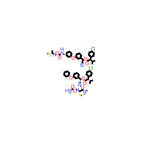 CC(C)C(C(=O)OC(C#N)c1cccc(Oc2ccccc2)c1)c1ccc(Cl)cc1.CC(C)[C@H](C(=O)O[C@H](C#N)c1cccc(Oc2ccccc2)c1)c1ccc(Cl)cc1.CNC(=O)O/N=C(\C)SC.CNC(=O)ON=C(SC)C(=O)N(C)C